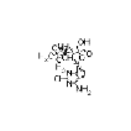 CC(C)(C)[Si](C)(C)OC1C[C@H](n2ccc3c(N)nc(Cl)nc32)OC1(C=O)CO